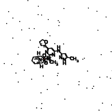 CCS(=O)(=O)N1[C@@H]2CCC[C@H]1C[C@H](N(C)c1nc(Nc3cc(C)[nH]n3)cc([C@H]3CCCO3)n1)C2